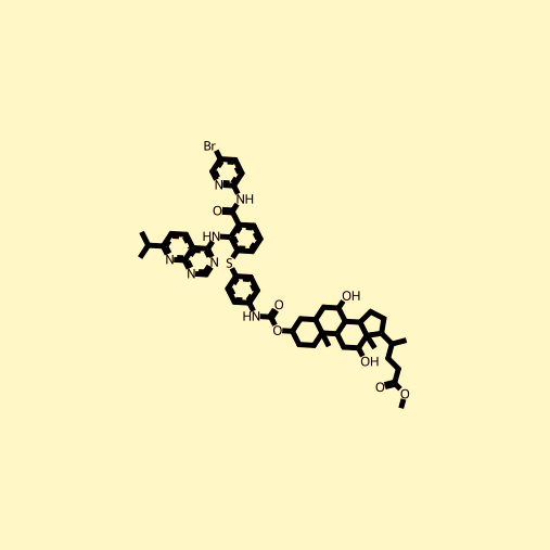 COC(=O)CCC(C)C1CCC2C3C(O)CC4CC(OC(=O)Nc5ccc(Sc6cccc(C(=O)Nc7ccc(Br)cn7)c6Nc6ncnc7nc(C(C)C)ccc67)cc5)CCC4(C)C3CC(O)C12C